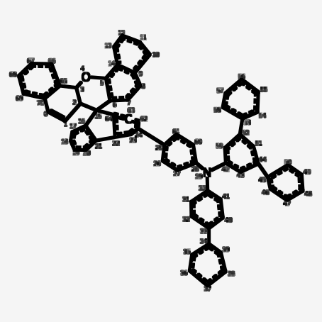 C1=CC2C(Oc3c(ccc4ccccc34)C23c2ccccc2-c2cc(-c4ccc(N(c5ccc(-c6ccccc6)cc5)c5cc(-c6ccccc6)cc(-c6ccccc6)c5)cc4)ccc23)c2ccccc21